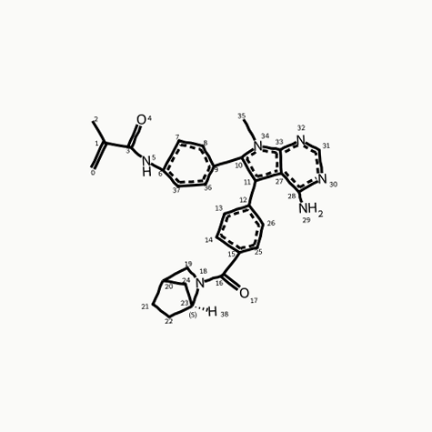 C=C(C)C(=O)Nc1ccc(-c2c(-c3ccc(C(=O)N4CC5CC[C@H]4C5)cc3)c3c(N)ncnc3n2C)cc1